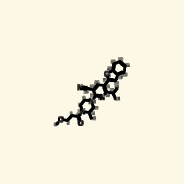 COCCC(=O)N1CCN(c2nc(C(C)C)c(-c3cc4ccccc4o3)cc2C#N)CC1C